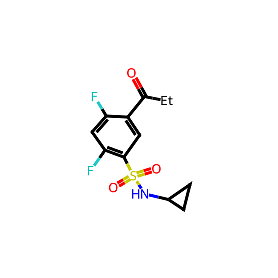 CCC(=O)c1cc(S(=O)(=O)NC2CC2)c(F)cc1F